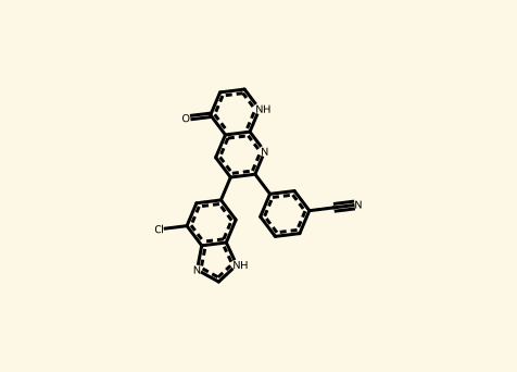 N#Cc1cccc(-c2nc3[nH]ccc(=O)c3cc2-c2cc(Cl)c3nc[nH]c3c2)c1